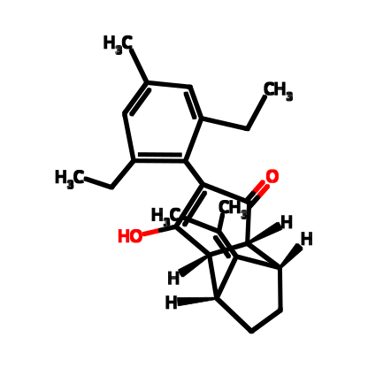 CCc1cc(C)cc(CC)c1C1=C(O)[C@@H]2[C@H](C1=O)[C@@H]1CC[C@H]2C1=C(C)C